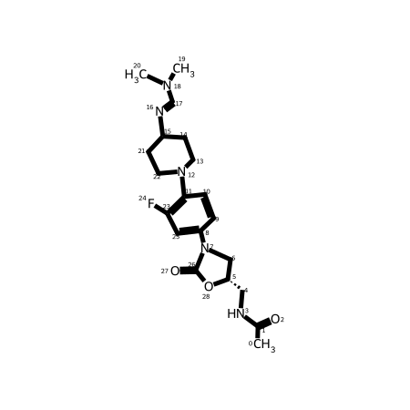 CC(=O)NC[C@H]1CN(c2ccc(N3CCC(N=CN(C)C)CC3)c(F)c2)C(=O)O1